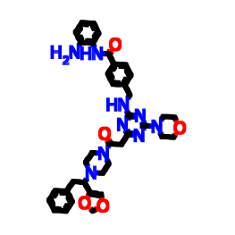 Nc1ccccc1NC(=O)c1ccc(CNc2nc(CC(=O)N3CCN(C(Cc4ccccc4)C4=COCO4)CC3)nc(N3CCOCC3)n2)cc1